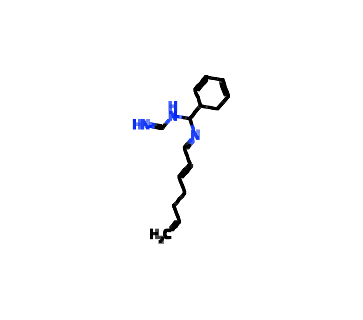 C=CCC/C=C/C=N/C(NC=N)C1C=CC=CC1